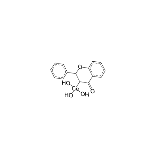 O=C1c2ccccc2OC(c2ccccc2)[CH]1[Ge]([OH])([OH])[OH]